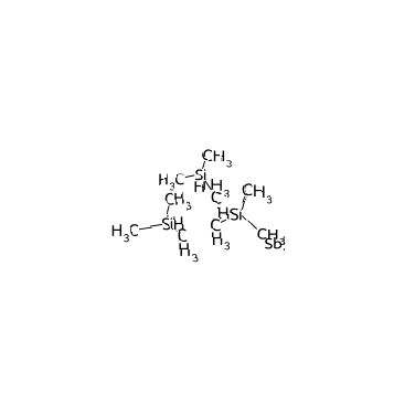 C[SiH](C)C.C[SiH](C)C.C[SiH](C)C.[Sb]